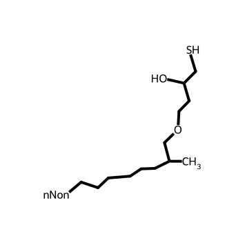 CCCCCCCCCCCCCCCC(C)COCCC(O)CS